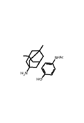 CC(=O)Nc1ccc(O)cc1.CC12CC3CC(C)(C1)CC(N)(C3)C2